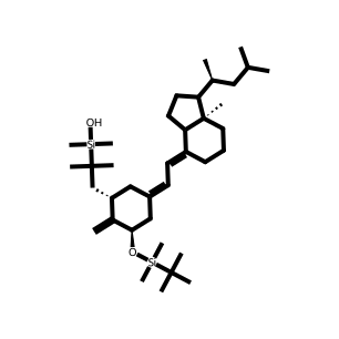 C=C1[C@H](CC(C)(C)[Si](C)(C)O)C/C(=C\C=C2/CCC[C@@]3(C)C2CCC3[C@@H](C)CC(C)C)C[C@H]1O[Si](C)(C)C(C)(C)C